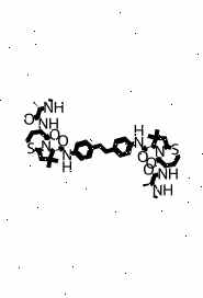 CN[C@@H](C)C(=O)N[C@H]1CCSC2CC(C)(C)[C@@H](C(=O)Nc3ccc(CCc4ccc(NC(=O)[C@H]5N6C(=O)[C@@H](NC(=O)[C@H](C)NC)CCSC6CC5(C)C)cc4)cc3)N2C1=O